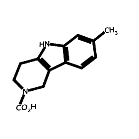 Cc1ccc2c3c([nH]c2c1)CCN(C(=O)O)C3